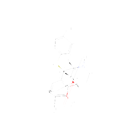 COC1=C[C@@H]2[C@@H]3[C@H](Sc4ccc(C)cc4)c4ccc(C)c(OC(C)=O)c4[C@]2(CCN3C)CC1=O